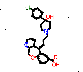 O=C(O)c1ccc2c(c1)/C(=C/CCN1CCC(O)(c3ccc(Cl)cc3)CC1)C1C=CC=NC1CO2